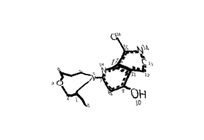 CC1COCCN1c1cc(O)c2ccnc(Cl)c2n1